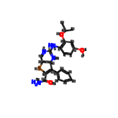 COc1ccc(Nc2ncc3sc(C(N)=O)c(-c4ccccc4)c3n2)c(OC(C)C)c1